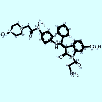 CN1CCN(CC(=O)N(C)c2ccc(N/C(=C3\C(=O)N(C(=O)CN)c4cc(C(=O)O)ccc43)c3ccccc3)cc2)CC1